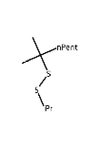 CCCCCC(C)(C)SSC(C)C